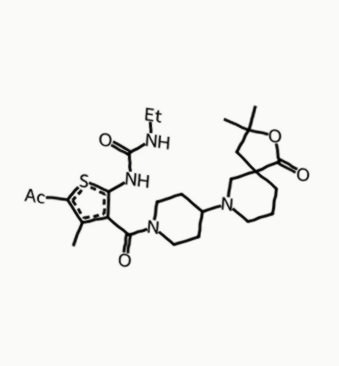 CCNC(=O)Nc1sc(C(C)=O)c(C)c1C(=O)N1CCC(N2CCCC3(C2)CC(C)(C)OC3=O)CC1